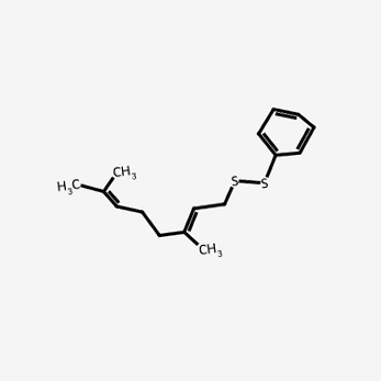 CC(C)=CCC/C(C)=C/CSSc1ccccc1